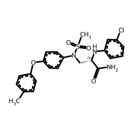 Cc1ccc(Oc2ccc(N(C[C@H](Nc3cccc(Cl)c3)C(N)=O)S(C)(=O)=O)cc2)cc1